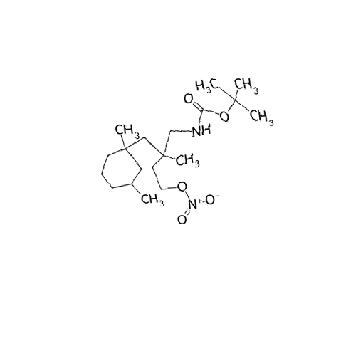 CC1CCCC(C)(CC(C)(CCO[N+](=O)[O-])CNC(=O)OC(C)(C)C)C1